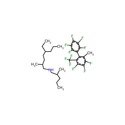 CCCC(C)CNCC(C)CCC(CC)CCC.Cc1c(F)c(F)c(F)c(C(F)(F)F)c1-c1c(F)c(F)c(F)c(F)c1F